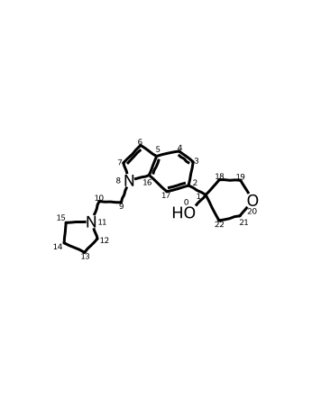 OC1(c2ccc3ccn(CCN4CCCC4)c3c2)CCOCC1